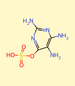 Nc1nc(N)c(N)c(OS(=O)(=O)O)n1